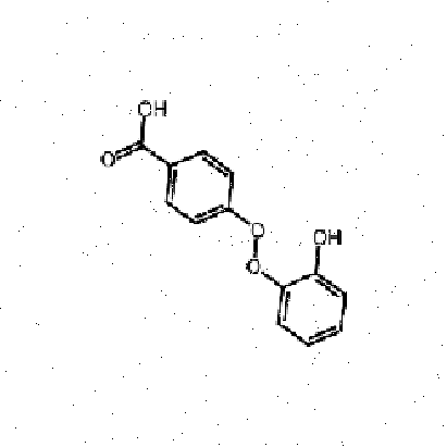 O=C(O)c1ccc(OOc2ccccc2O)cc1